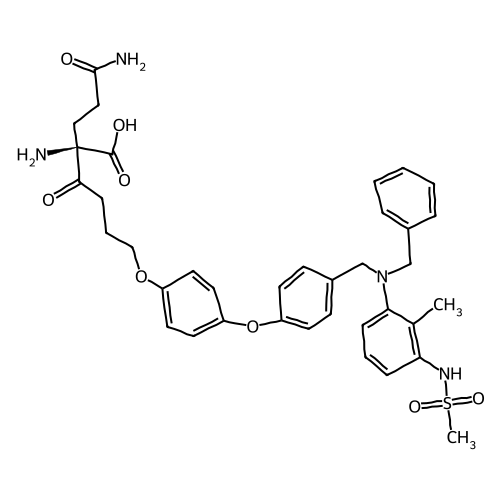 Cc1c(NS(C)(=O)=O)cccc1N(Cc1ccccc1)Cc1ccc(Oc2ccc(OCCCC(=O)[C@](N)(CCC(N)=O)C(=O)O)cc2)cc1